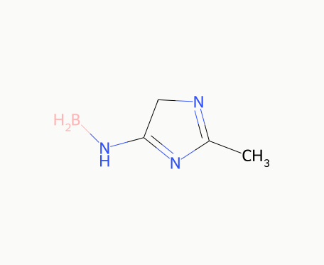 BNC1=NC(C)=NC1